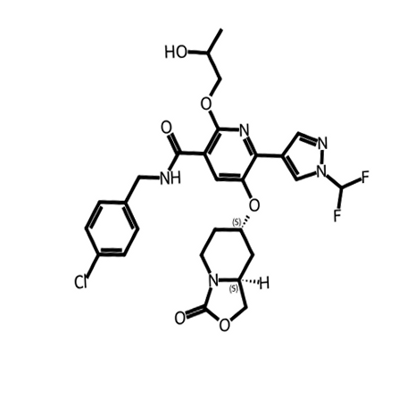 CC(O)COc1nc(-c2cnn(C(F)F)c2)c(O[C@H]2CCN3C(=O)OC[C@@H]3C2)cc1C(=O)NCc1ccc(Cl)cc1